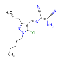 C=CCc1nn(CCCCC)c(Cl)c1/C=N/C(C#N)=C(\N)C#N